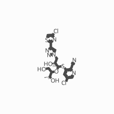 C[C@@H](O)C(CO)OC(Sc1cc(Cl)cnc1C#N)[C@@H](O)Cn1cc(-c2nc(Cl)cs2)nn1